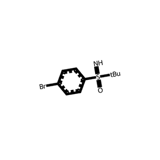 CC(C)(C)S(=N)(=O)c1ccc(Br)cc1